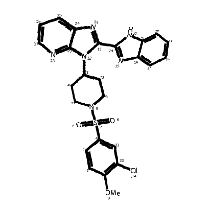 COc1ccc(S(=O)(=O)N2CCC(n3c(-c4nc5ccccc5[nH]4)nc4cccnc43)CC2)cc1Cl